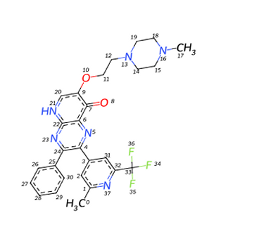 Cc1cc(-c2nc3c(=O)c(OCCN4CCN(C)CC4)c[nH]c3nc2-c2ccccc2)cc(C(F)(F)F)n1